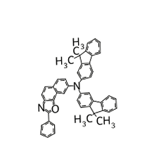 CC1(C)c2ccccc2-c2cc(N(c3ccc4c(c3)C(C)(C)c3ccccc3-4)c3ccc4ccc5nc(-c6ccccc6)oc5c4c3)ccc21